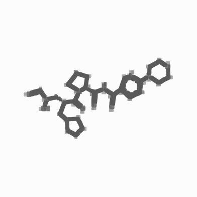 O=CN(O)C[C@@H](CC1CCCC1)C(=O)N1CCC[C@H]1C(=O)NC(=O)c1ccc(N2CCOCC2)nc1